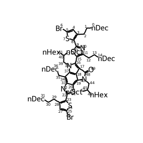 CCCCCCCCCCCCc1cc(Br)sc1-c1nc(CCCCCCCCCCCC)c(-c2c3c4c(c5sc(-c6sc(Br)cc6CCCCCCCCCCCC)nc5c(CCCCCCCCCCC)c4n2CC(CCCCCC)CCCCCCCC)N(CC(CCCCCC)CCCCCCCC)C3=O)s1